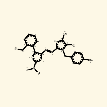 CCC(C)c1ccc(Cn2c(/N=N/c3sc(N(CC)CC)nc3-c3ccccc3CO)nc(C#N)c2C#N)cc1